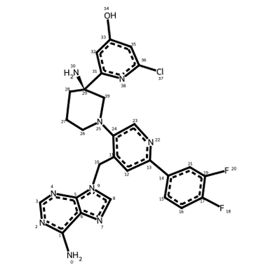 Nc1ncnc2c1ncn2Cc1cc(-c2ccc(F)c(F)c2)ncc1N1CCC[C@](N)(c2cc(O)cc(Cl)n2)C1